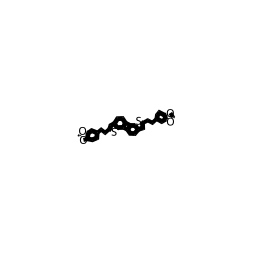 c1cc2c(cc1CCc1cc3ccc4c(c3s1)-c1ccc3cc(CCc5ccc6c(c5)OCO6)sc3c1-4)OCO2